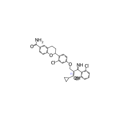 N=C(/C(COc1ccc(C2CCc3cc(C(N)=O)ccc3O2)c(Cl)c1)=C(\O)C1CC1)c1c(Cl)cccc1Cl